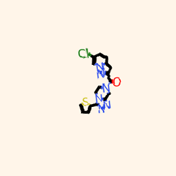 O=C(c1cc2ccc(Cl)cn2n1)N1CCn2c(nnc2-c2cccs2)C1